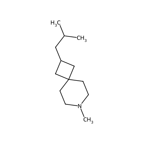 CC(C)CC1CC2(CCN(C)CC2)C1